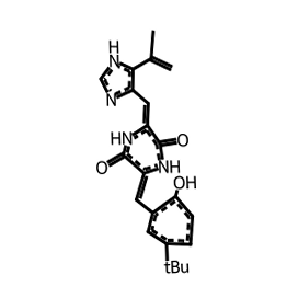 C=C(C)c1[nH]cnc1/C=c1\[nH]c(=O)/c(=C/c2cc(C(C)(C)C)ccc2O)[nH]c1=O